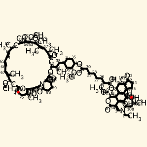 CCN(/C=C1/C(=O)O[C@H](COC)[C@@]2(C)C1=C(O)C(=O)C1=C2[C@H](OC(=O)CCCCCCC(=O)O[C@@H]2CCC(C[C@@H](C)[C@@H]3CC(=O)[C@H](C)/C=C(\C)[C@](C)(O)[C@@H](OC)C(=O)[C@H](C)C[C@H](C)/C=C/C=C/C=C(\C)[C@@H](OC)C[C@@H]4CC[C@@H](C)[C@@](O)(O4)C(=O)C(=O)N4CCCC[C@H]4C(=O)O3)C[C@H]2OC)C[C@]2(C)C(=O)CC[C@@H]12)CCN(C)C